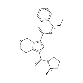 CC[C@@H](NC(=O)c1cc(C(=O)N2CCC[C@H]2C)n2c1COCC2)c1ccccc1